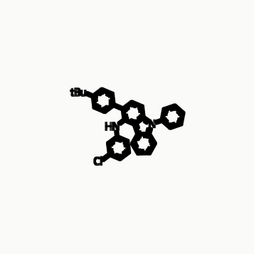 CC(C)(C)c1ccc(-c2ccc3c(c2Nc2cccc(Cl)c2)c2ccccc2n3-c2ccccc2)cc1